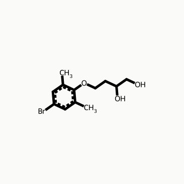 Cc1cc(Br)cc(C)c1OCCC(O)CO